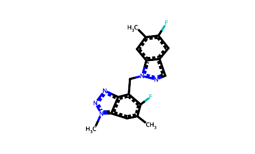 Cc1cc2c(cnn2Cc2c(F)c(C)cc3c2nnn3C)cc1F